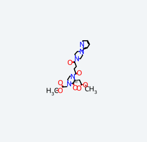 COC(=O)C[C@H]1C(=O)N(CC(=O)OC)CCN1C(=O)CCC(=O)N1CCN(c2ccccn2)CC1